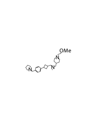 COCCN1CCC(CN(C)CC2CC(c3ccc(CN4CCCC4)cc3)C2)CC1